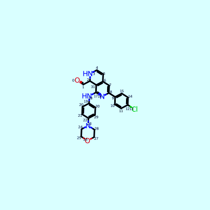 O=CC1NC=Cc2cc(-c3ccc(Cl)cc3)nc(Nc3ccc(N4CCOCC4)cc3)c21